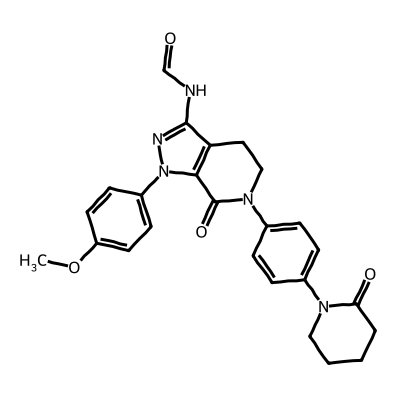 COc1ccc(-n2nc(NC=O)c3c2C(=O)N(c2ccc(N4CCCCC4=O)cc2)CC3)cc1